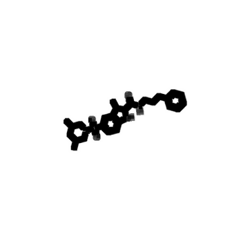 CC1CC(C)CN(S(=O)(=O)c2ccc3c(c2)C(C)C(C(=O)NCCCc2ccccc2)N3)C1